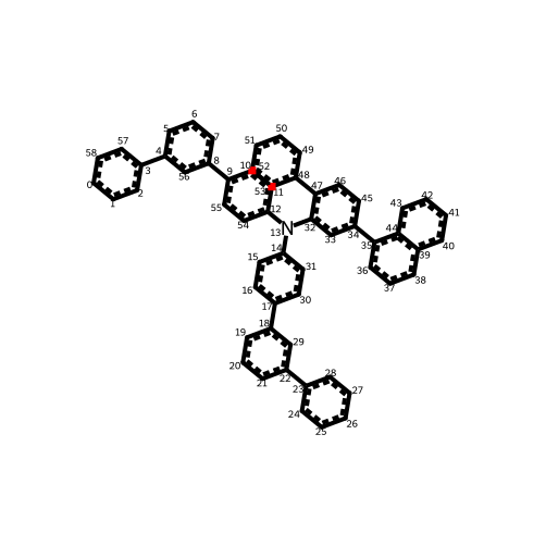 c1ccc(-c2cccc(-c3ccc(N(c4ccc(-c5cccc(-c6ccccc6)c5)cc4)c4cc(-c5cccc6ccccc56)ccc4-c4ccccc4)cc3)c2)cc1